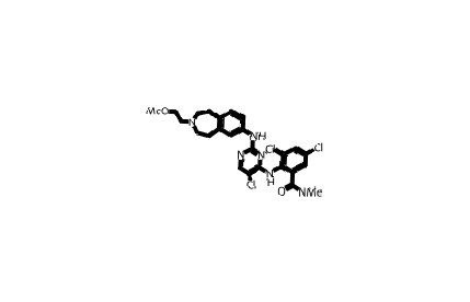 CNC(=O)c1cc(Cl)cc(Cl)c1Nc1nc(Nc2ccc3c(c2)CCN(CCOC)CC3)ncc1Cl